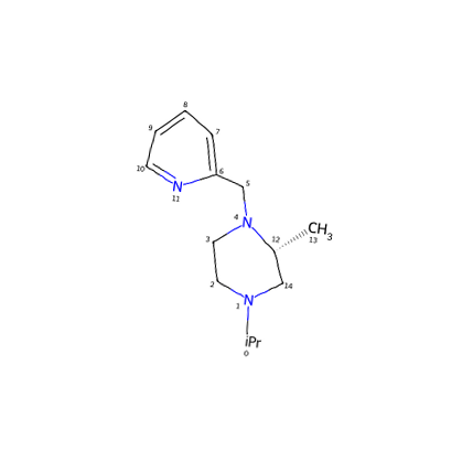 CC(C)N1CCN(Cc2ccccn2)[C@H](C)C1